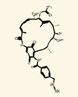 CCCNCc1ccc(C(=O)NC2=C3C[C@@H](C)C[C@H](OC)[C@H](O)[C@@H](C)/C=C(\C)[C@H](OC(N)=O)[C@@H](OC)/C=C\C=C(/C)C(=O)NC(=CC2=O)C3=O)cc1